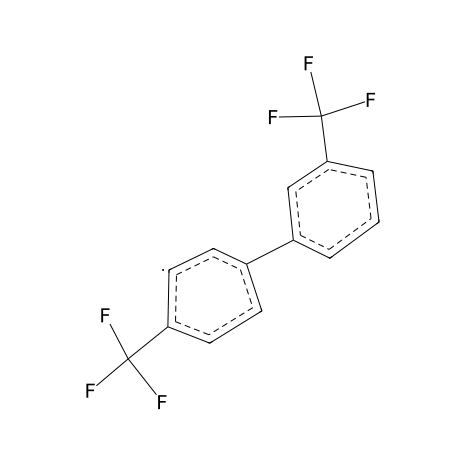 FC(F)(F)c1[c]cc(-c2cccc(C(F)(F)F)c2)cc1